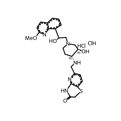 COc1ccc2cccc(C(O)CN3CC[C@@H](NCc4ccc5c(n4)NC(=O)CS5)[C@H](O)C3)c2n1.Cl.Cl